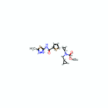 Cc1nnc(NC(=O)c2ccc([C@@H]3C[C@H]3N(CC3CC3)C(=O)OC(C)(C)C)s2)s1